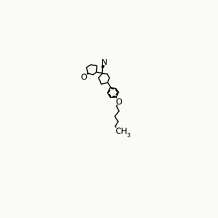 CCCCCCOc1ccc(C2CCC(C#N)(C3CCCC(=O)C3)CC2)cc1